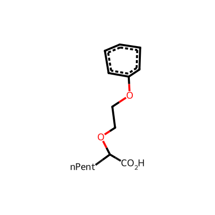 CCCCCC(OCCOc1ccccc1)C(=O)O